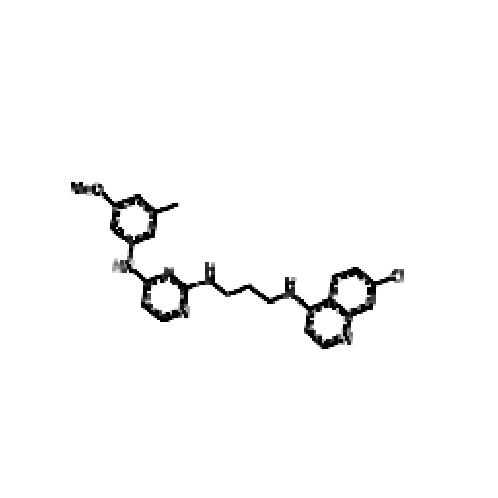 COc1cc(C)cc(Nc2ccnc(NCCCNc3ccnc4cc(Cl)ccc34)n2)c1